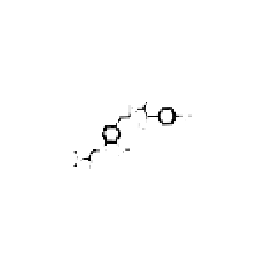 CC(NCCc1ccc(OCC(=O)N(C)C)c(N(C)C)c1)C(O)c1ccc(O)cc1